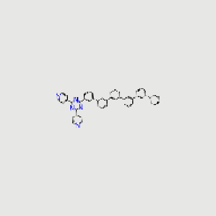 C1=CCC(c2cccc(C3=CC(C4=CCCC(C5=CC(c6cccc(-c7nc(-c8ccncc8)nc(-c8ccncc8)n7)c6)CC=C5)=C4)CC=C3)c2)C=C1